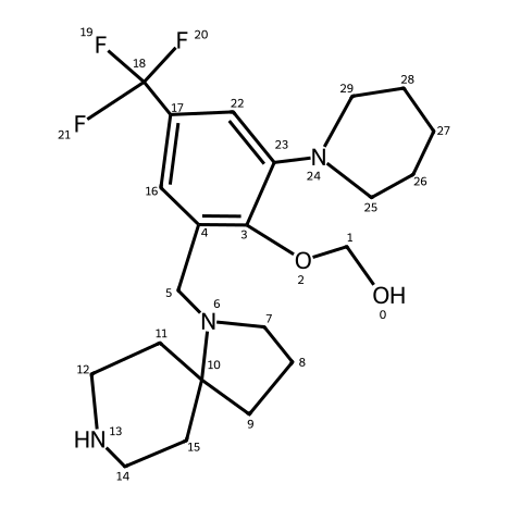 OCOc1c(CN2CCCC23CCNCC3)cc(C(F)(F)F)cc1N1CCCCC1